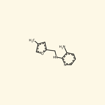 Cc1coc(CNc2ncccc2N)c1